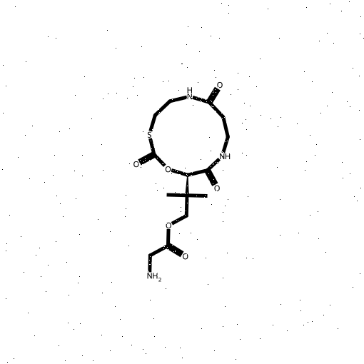 CC(C)(COC(=O)CN)[C@H]1OC(=O)SCCNC(=O)CCNC1=O